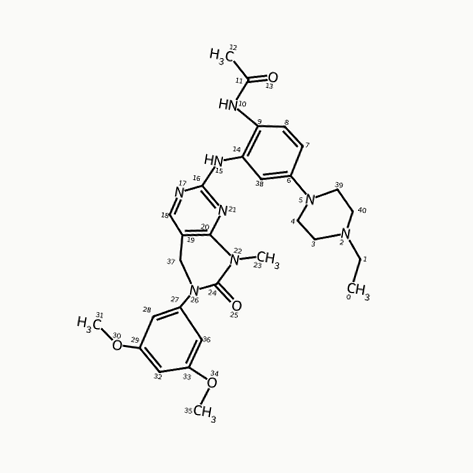 CCN1CCN(c2ccc(NC(C)=O)c(Nc3ncc4c(n3)N(C)C(=O)N(c3cc(OC)cc(OC)c3)C4)c2)CC1